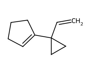 C=CC1(C2=CCCC2)CC1